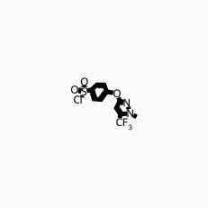 Cn1nc(Oc2ccc(S(=O)(=O)Cl)cc2)cc1C(F)(F)F